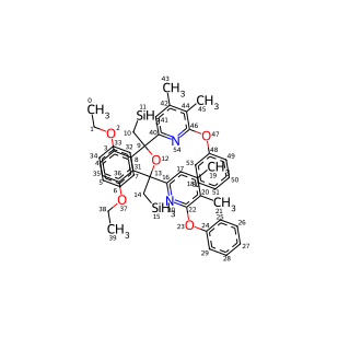 CCOc1ccccc1C(C[SiH3])(OC(C[SiH3])(c1cc(C)c(C)c(Oc2ccccc2)n1)c1ccccc1OCC)c1cc(C)c(C)c(Oc2ccccc2)n1